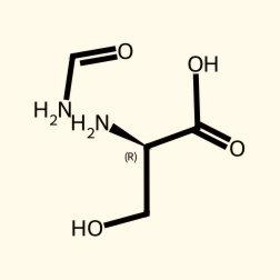 NC=O.N[C@H](CO)C(=O)O